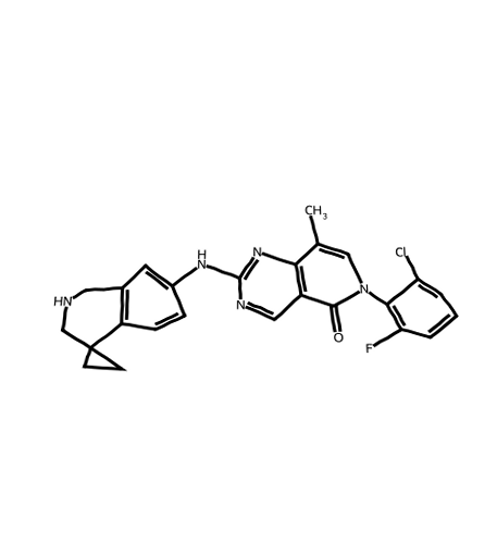 Cc1cn(-c2c(F)cccc2Cl)c(=O)c2cnc(Nc3ccc4c(c3)CNCC43CC3)nc12